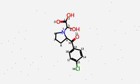 O=C(O)C(O)N1CCCC1C(=O)c1ccc(Cl)cc1